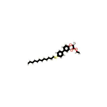 CCCCCCCCCCCCSc1ccc(-c2ccc(O[C@H](C)C(=O)OCC)cc2)cc1